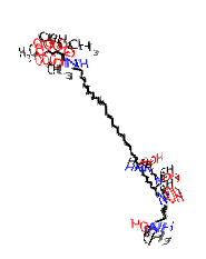 CB(O)NCCCCN(CC(CCCCCCNC(=O)CCCCCCCCCCCCCCCCCCCCCCCNC(=O)[C@H](OC(C)=O)[C@@H](OC(C)=O)[C@H](OC(C)=O)[C@@H](COC(C)=O)OC(C)=O)CN(CCCCNB(C)O)B(C)O)B(C)O